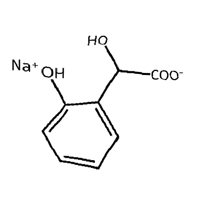 O=C([O-])C(O)c1ccccc1O.[Na+]